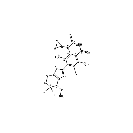 Cc1c(F)c(-c2cc3c(s2)CCC(F)(F)C3CN)c(C)c2c1c(=O)[nH]c(=O)n2C1CC1